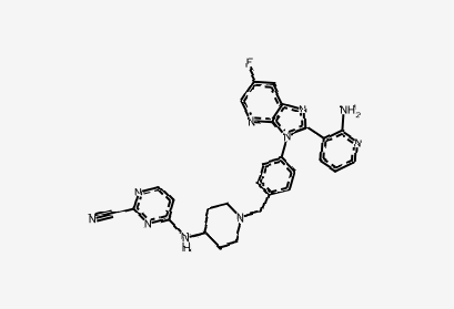 N#Cc1nccc(NC2CCN(Cc3ccc(-n4c(-c5cccnc5N)nc5cc(F)cnc54)cc3)CC2)n1